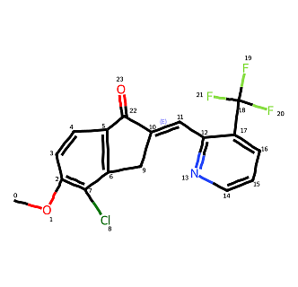 COc1ccc2c(c1Cl)C/C(=C\c1ncccc1C(F)(F)F)C2=O